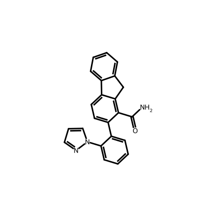 NC(=O)c1c(-c2ccccc2-n2cccn2)ccc2c1Cc1ccccc1-2